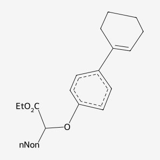 CCCCCCCCCC(Oc1ccc(C2=CCCCC2)cc1)C(=O)OCC